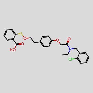 CCN(Cc1ccccc1Cl)C(=O)COc1ccc(CCOSc2ccccc2C(=O)O)cc1